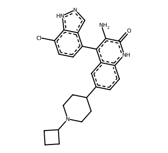 Nc1c(-c2ccc(Cl)c3[nH]ncc23)c2cc(C3CCN(C4CCC4)CC3)ccc2[nH]c1=O